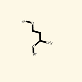 [CH2]C(CCOCCCC)OC(C)C